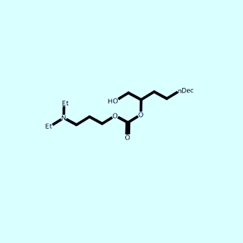 CCCCCCCCCCCCC(CO)OC(=O)OCCCN(CC)CC